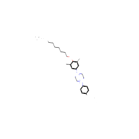 CCOC(=O)c1ccc(N2CCN(c3cc(C)c(OCCCCCCCOC)c(C)c3)CC2)cc1